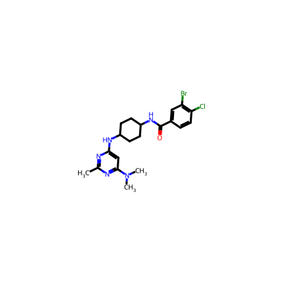 Cc1nc(NC2CCC(NC(=O)c3ccc(Cl)c(Br)c3)CC2)cc(N(C)C)n1